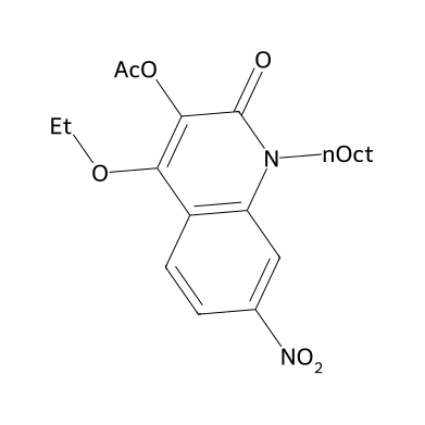 CCCCCCCCn1c(=O)c(OC(C)=O)c(OCC)c2ccc([N+](=O)[O-])cc21